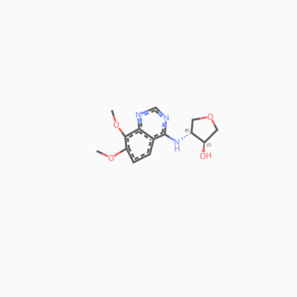 COc1ccc2c(N[C@@H]3COC[C@H]3O)ncnc2c1OC